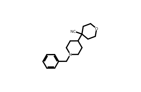 N#CC1(C2CCN(Cc3ccccc3)CC2)CCOCC1